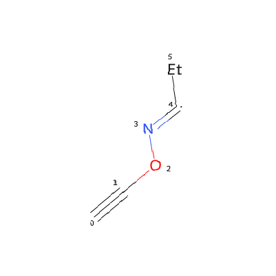 C#CON=[C]CC